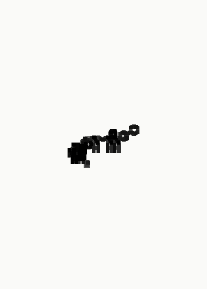 Nc1ncnc2c1ncn2[C@H]1CC[C@@H](CNCCCNC(=O)Nc2ccc(C3CCCCC3)cc2)O1